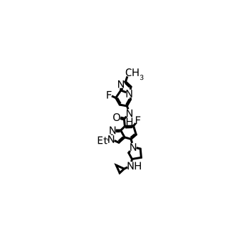 CCn1cc2c(N3CCC(NC4CC4)C3)cc(F)c(C(=O)Nc3cc(F)c4nc(C)cn4c3)c2n1